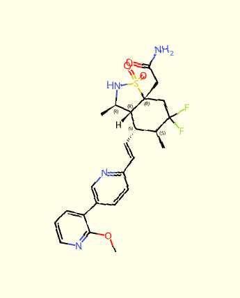 COc1ncccc1-c1ccc(C=C[C@@H]2[C@@H]3[C@@H](C)NS(=O)(=O)[C@]3(CC(N)=O)CC(F)(F)[C@H]2C)nc1